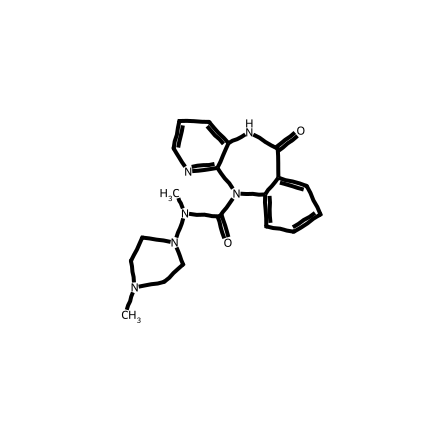 CN1CCN(N(C)C(=O)N2c3ccccc3C(=O)Nc3cccnc32)CC1